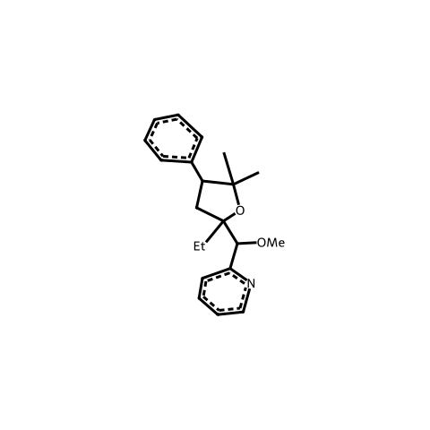 CCC1(C(OC)c2ccccn2)CC(c2ccccc2)C(C)(C)O1